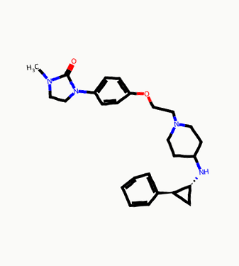 CN1CCN(c2ccc(OCCN3CCC(N[C@@H]4C[C@H]4c4ccccc4)CC3)cc2)C1=O